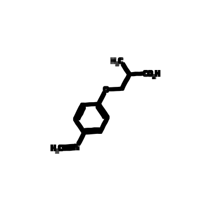 C=Nc1ccc(OCC(C)C(=O)O)cc1